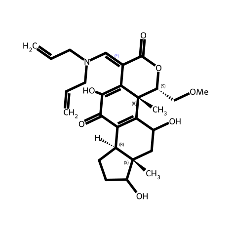 C=CCN(/C=C1/C(=O)O[C@H](COC)[C@@]2(C)C1=C(O)C(=O)C1=C2C(O)C[C@]2(C)C(O)CC[C@@H]12)CC=C